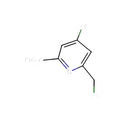 CCOC(=O)c1cc(Cl)cc(CCl)n1